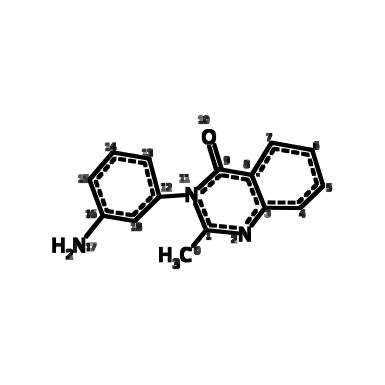 Cc1nc2ccccc2c(=O)n1-c1cccc(N)c1